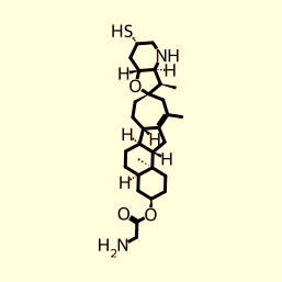 CC1=C2C[C@H]3[C@@H](CC[C@@H]4C[C@H](OC(=O)CN)CC[C@@]43C)[C@@H]2CC[C@@]2(C1)O[C@@H]1C[C@H](S)CN[C@H]1[C@H]2C